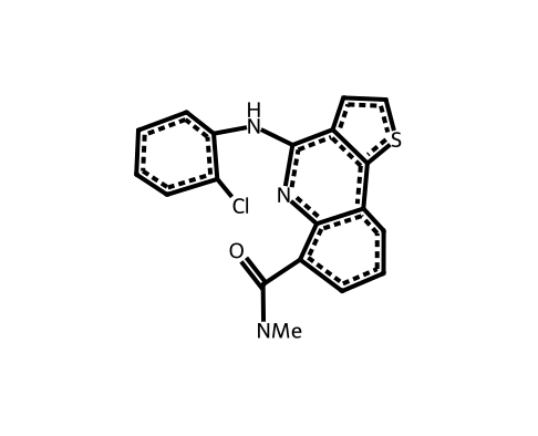 CNC(=O)c1cccc2c1nc(Nc1ccccc1Cl)c1ccsc12